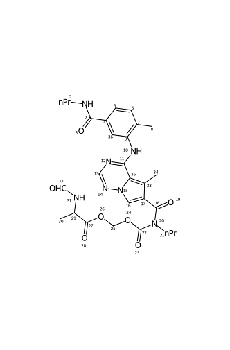 CCCNC(=O)c1ccc(C)c(Nc2ncnn3cc(C(=O)N(CCC)C(=O)OCOC(=O)C(C)NC=O)c(C)c23)c1